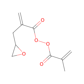 C=C(C)C(=O)OOC(=O)C(=C)CC1CO1